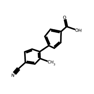 Cc1cc(C#N)ccc1-c1ccc(C(=O)O)cc1